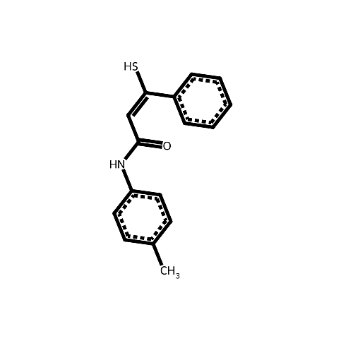 Cc1ccc(NC(=O)/C=C(/S)c2ccccc2)cc1